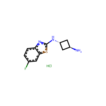 Cl.N[C@H]1C[C@H](Nc2nc3ccc(F)cc3s2)C1